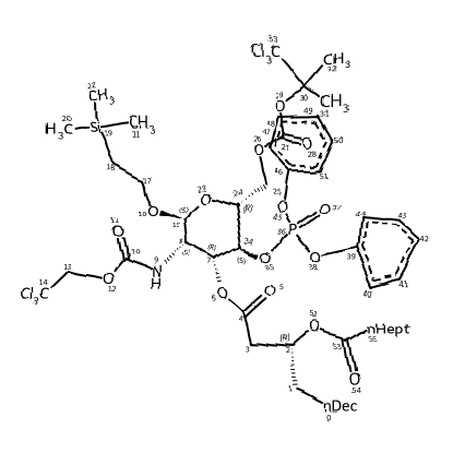 CCCCCCCCCCC[C@H](CC(=O)O[C@@H]1[C@H](NC(=O)OCC(Cl)(Cl)Cl)[C@@H](OCC[Si](C)(C)C)O[C@H](COC(=O)OC(C)(C)C(Cl)(Cl)Cl)[C@H]1OP(=O)(Oc1ccccc1)Oc1ccccc1)OC(=O)CCCCCCC